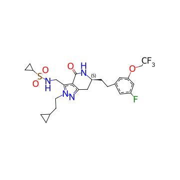 O=C1N[C@@H](CCc2cc(F)cc(OCC(F)(F)F)c2)Cc2nn(CCC3CC3)c(CNS(=O)(=O)C3CC3)c21